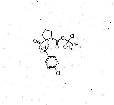 CC(C)(C)OC(=O)N1CCC[C@]1(CC(=O)c1cnc(Cl)nc1)C(=O)O